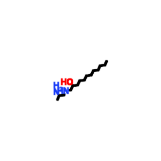 CCCCCCCCCCC(O)CNCC(C)N